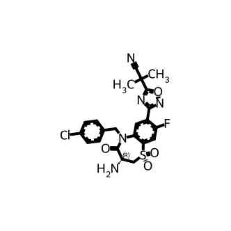 CC(C)(C#N)c1nc(-c2cc3c(cc2F)S(=O)(=O)C[C@H](N)C(=O)N3Cc2ccc(Cl)cc2)no1